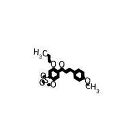 CCCOc1cc2c(cc1C(=O)C=Cc1ccc(OC)cc1)OCS2(=O)=O